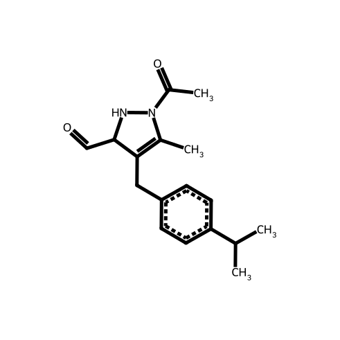 CC(=O)N1NC(C=O)C(Cc2ccc(C(C)C)cc2)=C1C